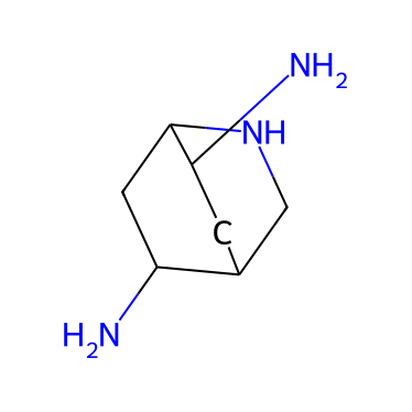 NC1CC2NCC1CC2N